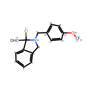 O=CC1(Cl)c2ccccc2CN1Cc1ccc(OC(F)(F)F)cc1